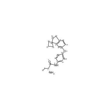 CC[C@@H](N)C(=O)Nc1cnc(Oc2ccc3c(c2)C2(CCC2)OC3)nc1